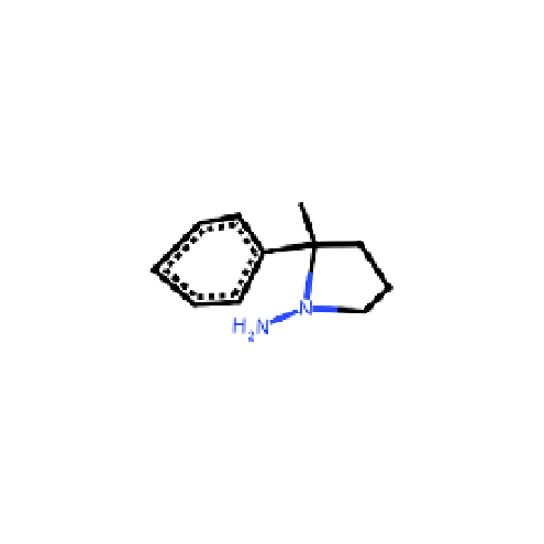 CC1(c2ccccc2)CCCN1N